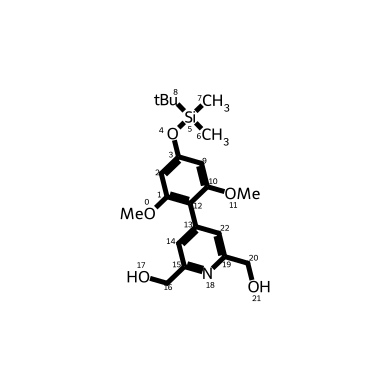 COc1cc(O[Si](C)(C)C(C)(C)C)cc(OC)c1-c1cc(CO)nc(CO)c1